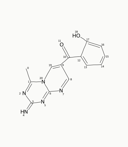 Cc1nc(=N)nc2ncc(C(=O)c3ccccc3O)cn12